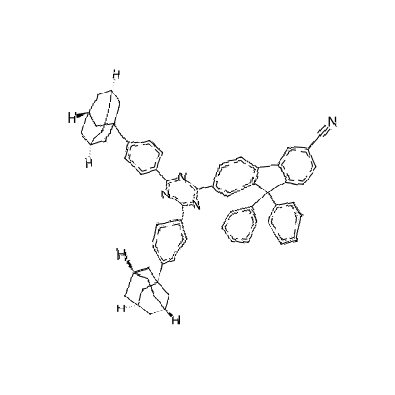 N#Cc1ccc2c(c1)-c1ccc(-c3nc(-c4ccc(C56C[C@H]7C[C@@H](C5)C[C@@H](C6)C7)cc4)nc(-c4ccc(C56C[C@H]7C[C@@H](C5)C[C@@H](C6)C7)cc4)n3)cc1C2(c1ccccc1)c1ccccc1